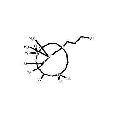 CCC1O[Si](C)(C)CCC[Si]2(CCCS)CCC[Si](C)(C)OC(CC)C1(C)O[Si](C)(C)CCC2